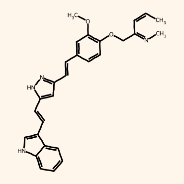 C/C=C\C(COc1ccc(/C=C/c2cc(/C=C/c3c[nH]c4ccccc34)[nH]n2)cc1OC)=N/C